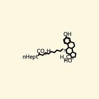 CCCCCCCC(CCCCCCCC[C@H]1C[C@@]2(C)C(CC[C@@H]2O)C2CCc3cc(O)ccc3C21)C(=O)O